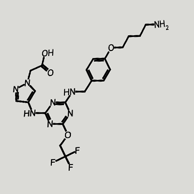 NCCCCOc1ccc(CNc2nc(Nc3cnn(CC(=O)O)c3)nc(OCC(F)(F)F)n2)cc1